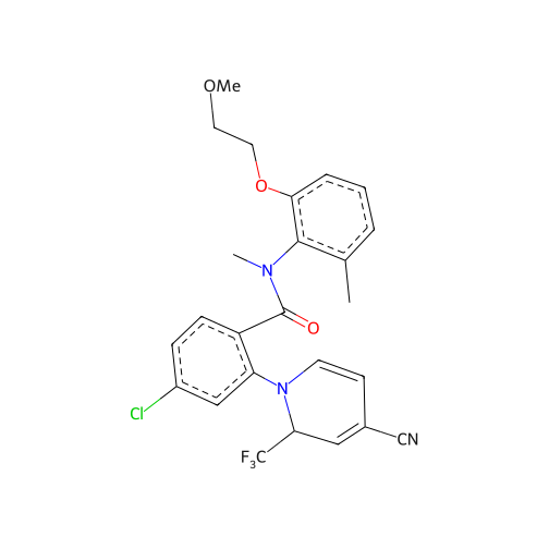 COCCOc1cccc(C)c1N(C)C(=O)c1ccc(Cl)cc1N1C=CC(C#N)=CC1C(F)(F)F